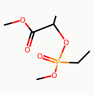 CCP(=O)(OC)OC(C)C(=O)OC